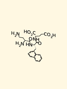 NCC[C@H](N)C(=O)N[C@@H](Cc1cccc2ccccc12)C(=O)N[C@@H](CCC(=O)O)C(=O)O